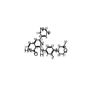 Cc1cc(Nc2nc(-c3cncnc3)cc3cc[nH]c(=O)c23)ccc1N1CCO[C@H](C)C1